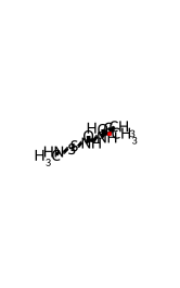 CNCCSSCCNC(=O)CCNC(=O)CC(C)(C)C